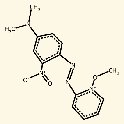 CO[n+]1ccccc1N=Nc1ccc(N(C)C)cc1[N+](=O)[O-]